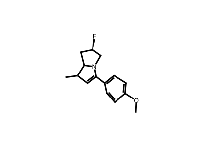 COc1ccc(C2=CC(C)C3C[C@@H](F)CN23)cc1